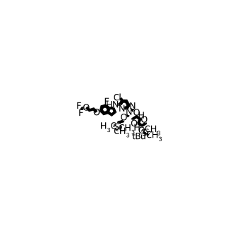 CC(C)(C)[Si](C)(C)OC1CO[C@H]2[C@@H]1OC[C@H]2Oc1nc2cc(Cl)c(NC3CCc4cc(OCCOC(F)F)cc(F)c43)nc2n1COCC[Si](C)(C)C